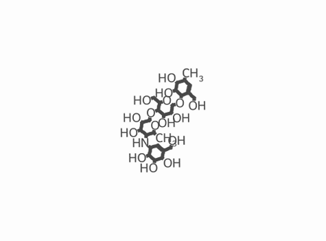 CC1C=C(CO)C(OC2OC(CO)C(OC3OC(C)C(NC4C=C(CO)C(O)C(O)C4O)C(O)C3O)C(O)C2O)C(O)C1O